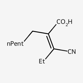 CCCCCCC(C(=O)O)=C(C#N)CC